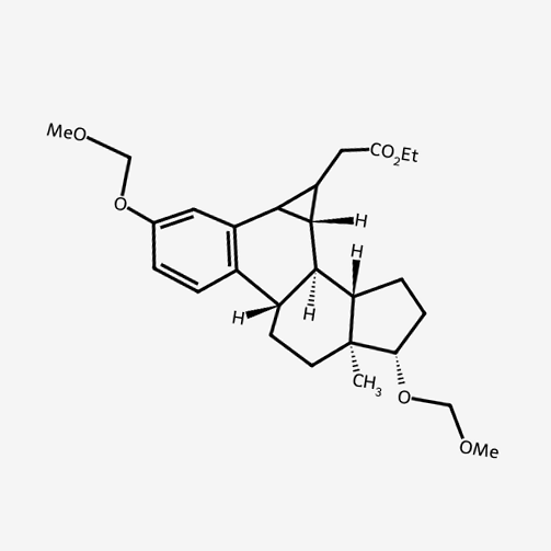 CCOC(=O)CC1C2c3cc(OCOC)ccc3[C@H]3CC[C@]4(C)[C@@H](OCOC)CC[C@H]4[C@@H]3[C@@H]12